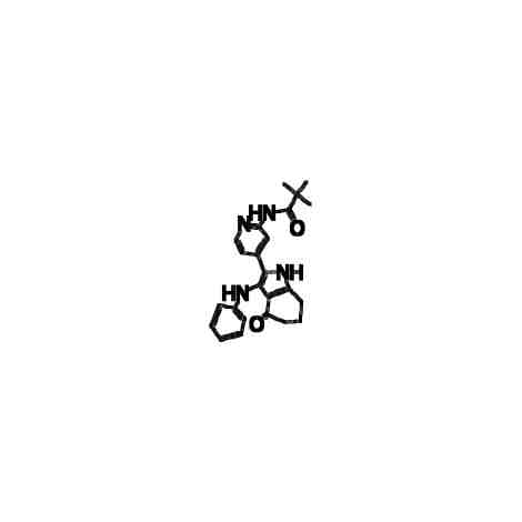 CC(C)(C)C(=O)Nc1cc(-c2[nH]c3c(c2Nc2ccccc2)C(=O)CCC3)ccn1